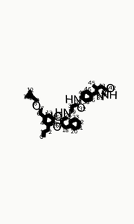 C=CCc1cc(CCOCC2CC2)ccc1OC(Cc1ccccc1)C(O)CNCCC(=O)Nc1ccc(C2=NNC(=O)CC2C)cc1